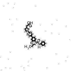 CCC1CN(C(=O)Nc2ccccc2)c2ccc(-c3cnc(N4CCC(CC(=O)O)C4)nc3)cc2O1